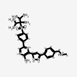 BC(B)C(B)(C(B)B)S(=O)(=O)c1ccc(-c2cnc(N)c(-c3cc(-c4ccc(CNC)cc4)no3)n2)cc1